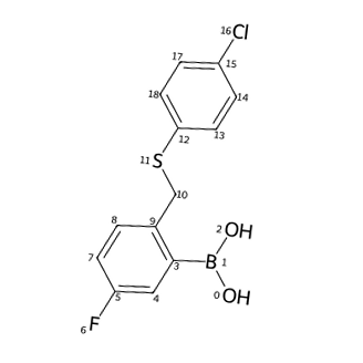 OB(O)c1cc(F)ccc1CSc1ccc(Cl)cc1